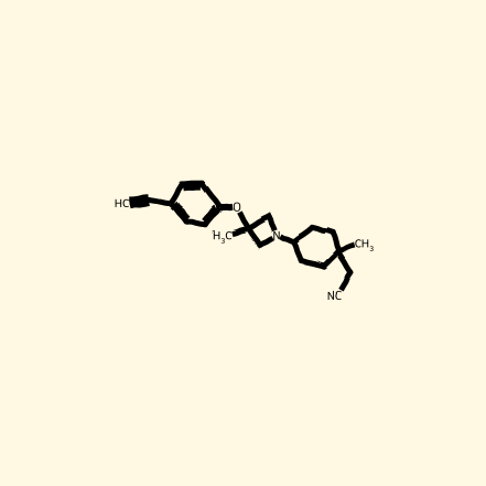 C#Cc1ccc(OC2(C)CN(C3CCC(C)(CC#N)CC3)C2)cc1